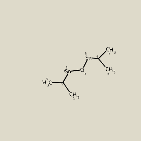 C[CH](C)[Sn][O][Sn][CH](C)C